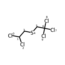 ClC(Cl)CSCC(Cl)(Cl)Cl